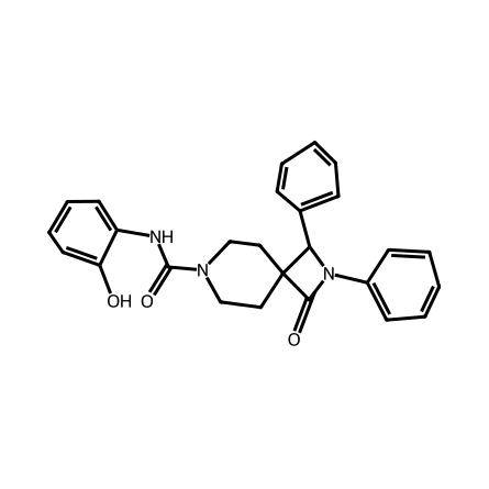 O=C(Nc1ccccc1O)N1CCC2(CC1)C(=O)N(c1ccccc1)C2c1ccccc1